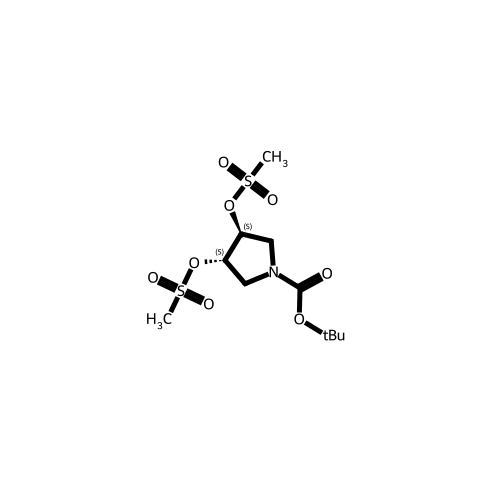 CC(C)(C)OC(=O)N1C[C@H](OS(C)(=O)=O)[C@@H](OS(C)(=O)=O)C1